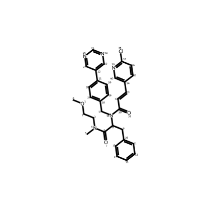 COCCN(C)C(=O)C(Cc1ccccc1)N(Cc1ccc(-c2cncnc2)cc1)C(=O)C=Cc1ccc(Cl)nc1